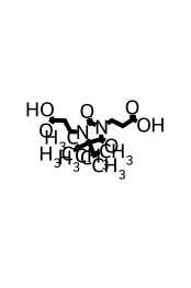 CC(C)(C)C1(C(C)(C)C)C(=O)N(CCC(=O)O)C(=O)N1CCC(=O)O